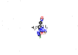 Cc1cc(-c2ccc(N3CCOCC3)cc2)c(C)c2nn(C(C(=O)Nc3nccs3)c3ncn4c3C[C@@H](F)C4)cc12